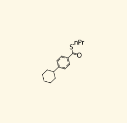 CCCSC(=O)c1ccc(C2CCCCC2)cc1